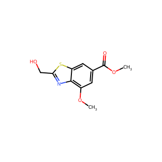 COC(=O)c1cc(OC)c2nc(CO)sc2c1